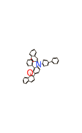 c1ccc(-c2ccc(N(c3ccc4ccccc4c3)c3ccc4c(oc5c6ccccc6ccc45)c3-c3ccccc3)cc2)cc1